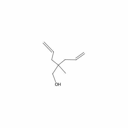 C=CCC(C)(CO)CC=C